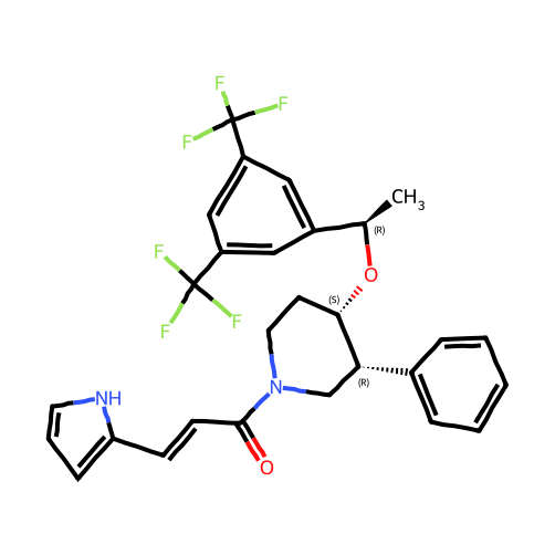 C[C@@H](O[C@H]1CCN(C(=O)C=Cc2ccc[nH]2)C[C@H]1c1ccccc1)c1cc(C(F)(F)F)cc(C(F)(F)F)c1